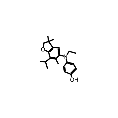 CCN(c1ccc(O)cc1)c1cc2c(c(C(C)C)c1C)OCC2(C)C